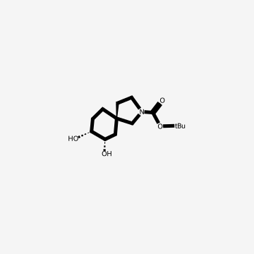 CC(C)(C)OC(=O)N1CC[C@@]2(CC[C@@H](O)[C@@H](O)C2)C1